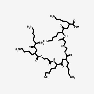 COC(=O)C(CCCCN)CC(=O)C(CCCCN)NC(=O)CNCOC(=O)C(CCCCN)CC(=O)C(CCCCN)NC(=O)CCOC(=O)C(CCCCN)CC(=O)C(N)CCCCN